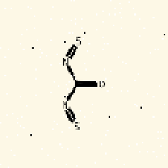 O=C(N=S)N=S